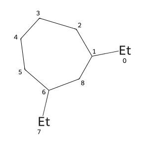 CCC1CCCCC(CC)C1